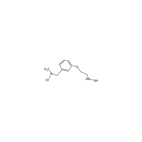 CCN(C)Cc1cccc(OCCNS)c1